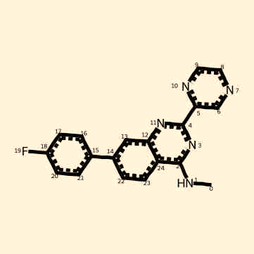 CNc1nc(-c2cnccn2)nc2cc(-c3ccc(F)cc3)ccc12